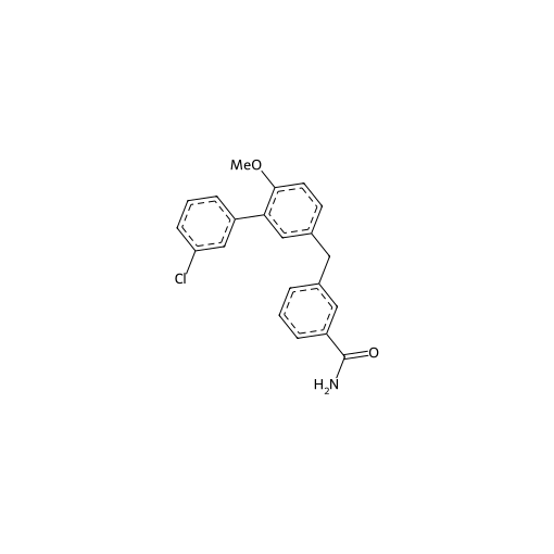 COc1ccc(Cc2cccc(C(N)=O)c2)cc1-c1cccc(Cl)c1